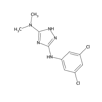 CN(C)c1nc(Nc2cc(Cl)cc(Cl)c2)n[nH]1